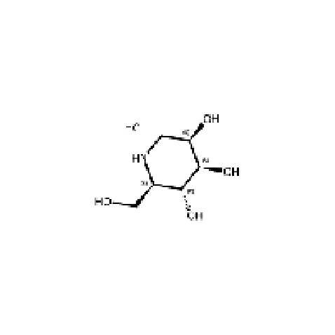 Cl.OC[C@H]1NC[C@@H](O)[C@@H](O)[C@@H]1O